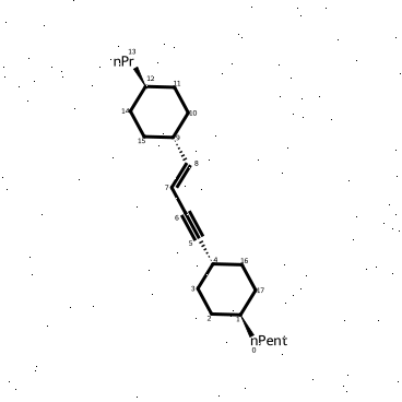 CCCCC[C@H]1CC[C@H](C#C/C=C/[C@H]2CC[C@H](CCC)CC2)CC1